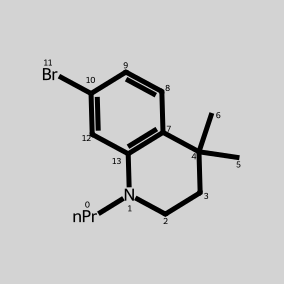 CCCN1CCC(C)(C)c2ccc(Br)cc21